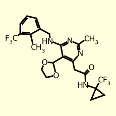 Cc1nc(CC(=O)NC2(C(F)(F)F)CC2)c(C2OCCO2)c(NCc2cccc(C(F)(F)F)c2C)n1